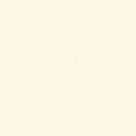 COc1cc(OC2CN(C(=O)OC(C)(C)C)C2)ccc1C(=O)O